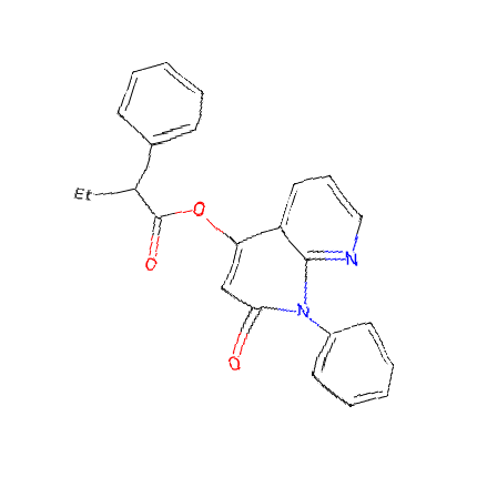 CCC(C(=O)Oc1cc(=O)n(-c2ccccc2)c2ncccc12)c1ccccc1